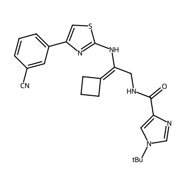 CC(C)(C)n1cnc(C(=O)NCC(Nc2nc(-c3cccc(C#N)c3)cs2)=C2CCC2)c1